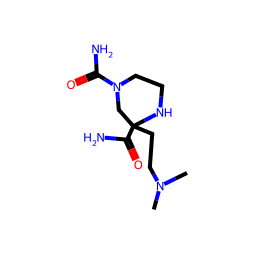 CN(C)CCC1(C(N)=O)CN(C(N)=O)CCN1